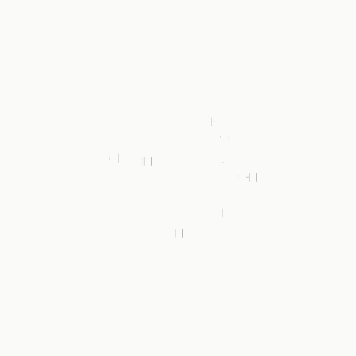 Cc1ccc(C(=O)O)c(C(=O)O)c1C.Cl.Cl